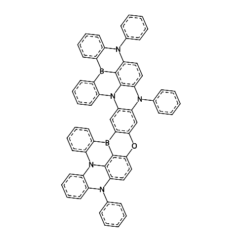 c1ccc(N2c3ccccc3B3c4ccccc4N4c5cc6c(cc5N(c5ccccc5)c5ccc2c3c54)Oc2ccc3c4c2B6c2ccccc2N4c2ccccc2N3c2ccccc2)cc1